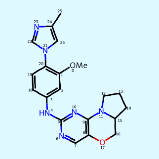 COc1cc(Nc2ncc3c(n2)N2CCCC2CO3)ccc1-n1cnc(C)c1